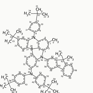 Cc1cc2c3c(c1)N(c1ccc(C(C)(C)C)cc1)c1cc(C(C)(C)C)ccc1B3c1ccc(N(c3ccc(C(C)(C)C)cc3)c3ccc(C(C)(C)C)cc3)cc1N2c1ccc2c(c1)C(C)(C)c1ccccc1-2